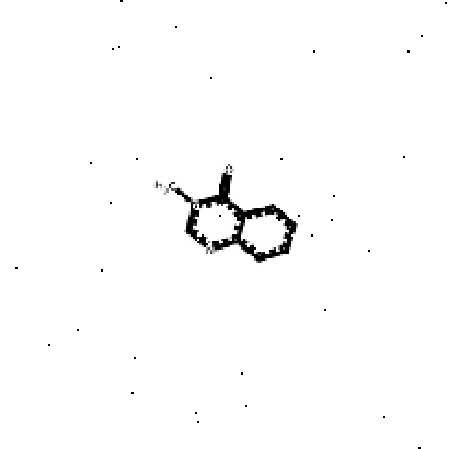 Cn1cnc2ccc[c]c2c1=O